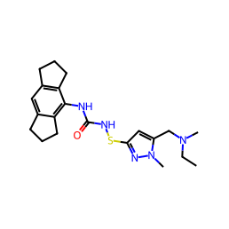 CCN(C)Cc1cc(SNC(=O)Nc2c3c(cc4c2CCC4)CCC3)nn1C